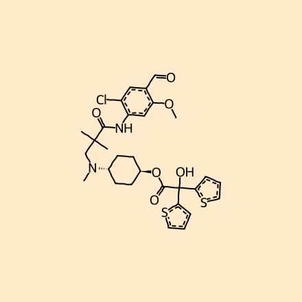 COc1cc(NC(=O)C(C)(C)CN(C)[C@H]2CC[C@H](OC(=O)C(O)(c3cccs3)c3cccs3)CC2)c(Cl)cc1C=O